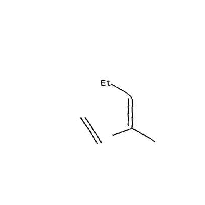 C=C.CCC=C(C)C